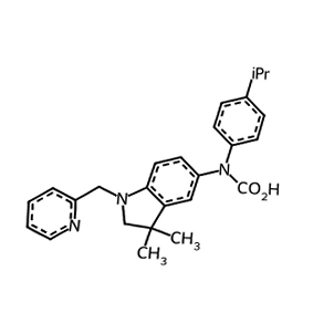 CC(C)c1ccc(N(C(=O)O)c2ccc3c(c2)C(C)(C)CN3Cc2ccccn2)cc1